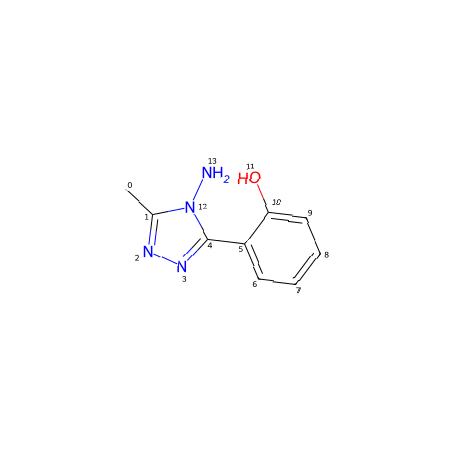 Cc1nnc(-c2ccccc2O)n1N